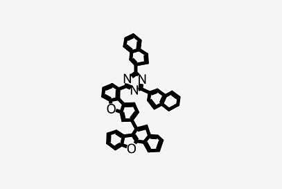 C1=Cc2cc(-c3nc(-c4ccc5ccccc5c4)nc(-c4cccc5oc6cc(-c7cc8ccccc8c8oc9ccccc9c78)ccc6c45)n3)ccc2CC1